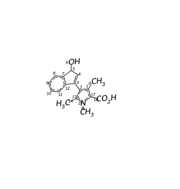 Cc1c(C2=CC(O)c3ccccc32)c(C)n(C)c1C(=O)O